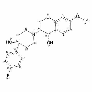 CC(C)Oc1ccc2c(c1)OC[C@@H](N1CCC(O)(c3ccc(F)cc3)CC1)[C@H]2O